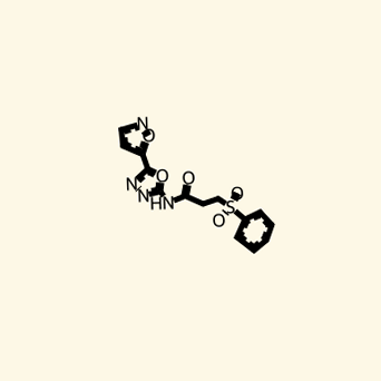 O=C(CCS(=O)(=O)c1ccccc1)Nc1nnc(-c2ccno2)o1